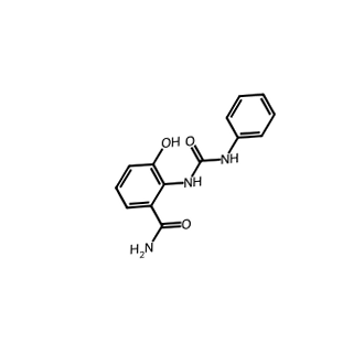 NC(=O)c1cccc(O)c1NC(=O)Nc1ccccc1